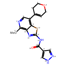 COc1ncc(C2=CCOCC2)c2sc(NC(=O)c3cn[nH]c3)nc12